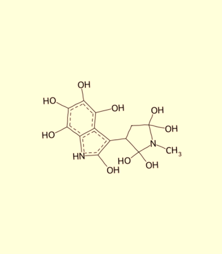 CN1C(O)(O)CC(c2c(O)[nH]c3c(O)c(O)c(O)c(O)c23)C1(O)O